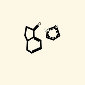 O=C1CCC2CC=CC=C12.c1cn[se]c1